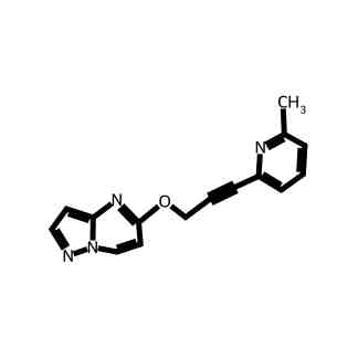 Cc1cccc(C#CCOc2ccn3nccc3n2)n1